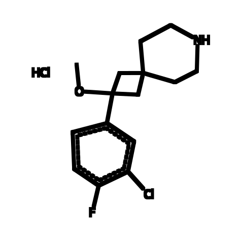 COC1(c2ccc(F)c(Cl)c2)CC2(CCNCC2)C1.Cl